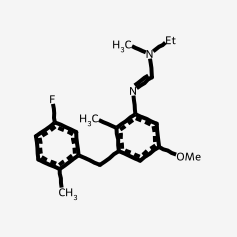 CCN(C)C=Nc1cc(OC)cc(Cc2cc(F)ccc2C)c1C